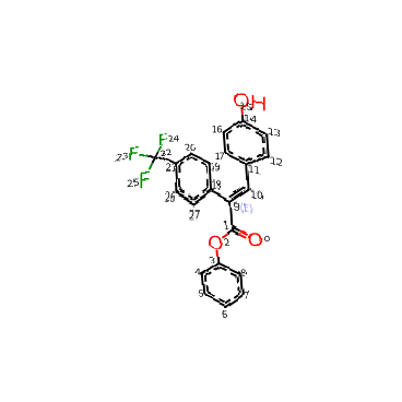 O=C(Oc1ccccc1)/C(=C/c1ccc(O)cc1)c1ccc(C(F)(F)F)cc1